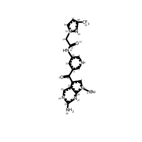 CC(C)(C)n1cc(C(=O)c2cncc(NC(=O)Cn3ccc(C(F)(F)F)n3)c2)c2cnc(N)nc21